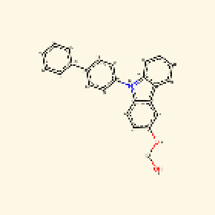 OBOc1ccc2c(c1)c1ccccc1n2-c1ccc(-c2ccccc2)cc1